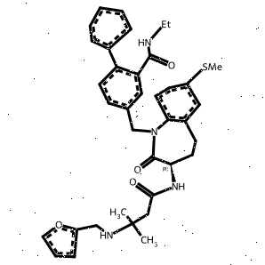 CCNC(=O)c1cc(CN2C(=O)[C@H](NC(=O)CC(C)(C)NCc3ccco3)CCc3cc(SC)ccc32)ccc1-c1ccccc1